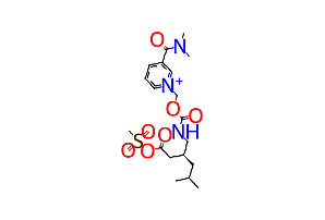 CC(C)C[C@H](CNC(=O)OC[n+]1cccc(C(=O)N(C)C)c1)CC(=O)OS(C)(=O)=O